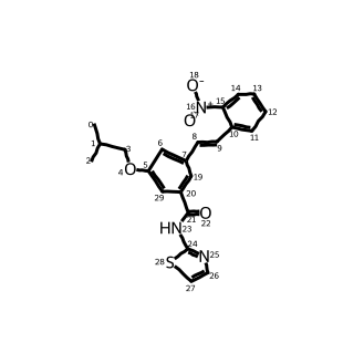 CC(C)COc1cc(C=Cc2ccccc2[N+](=O)[O-])cc(C(=O)Nc2nccs2)c1